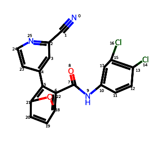 N#Cc1cc(-c2c(C(=O)Nc3ccc(Cl)c(Cl)c3)c3ccc2o3)ccn1